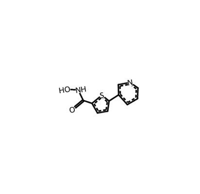 O=C(NO)c1ccc(-c2cccnc2)s1